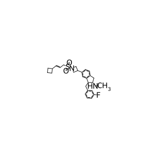 CNC1Cc2ccc(C3CN(S(=O)(=O)CC=CC4CCC4)C3)cc2C1Cc1cccc(F)c1